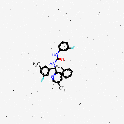 O=C(Nc1cccc(F)c1)N[C@](Cc1ccccc1)(c1cc(F)cc(C(F)(F)F)c1)c1ccc(C(F)(F)F)cn1